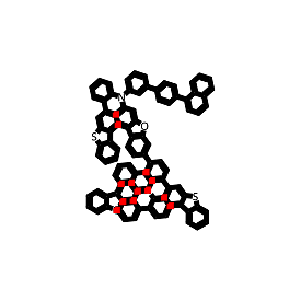 c1cc(-c2ccc(-c3cccc4ccccc34)cc2)cc(N(c2ccc3c(c2)oc2cc(-c4ccc(-c5ccc6c(c5)sc5ccccc56)c(N(c5ccc6c(c5)oc5ccccc56)c5ccccc5-c5ccccc5-c5cccc6ccccc56)c4)ccc23)c2ccccc2-c2ccc3c(c2)sc2ccccc23)c1